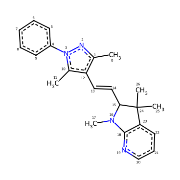 Cc1nn(-c2ccccc2)c(C)c1C=CC1N(C)c2ncccc2C1(C)C